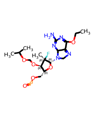 CCOC1=NC(N)=NC2C1=NCN2[C@@H]1O[C@H](COP=O)[C@@H](OCOC(C)C)[C@@]1(C)F